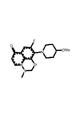 COC1CCN(c2c(F)cc3c(=O)ccn4c3c2OCN4C)CC1